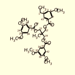 CCc1cc(OC)cc(C(=O)OCC(C)(COC(=O)c2cc(OC)cc(OC)c2)COC(=O)c2cc(OC)cc(OC)c2)c1